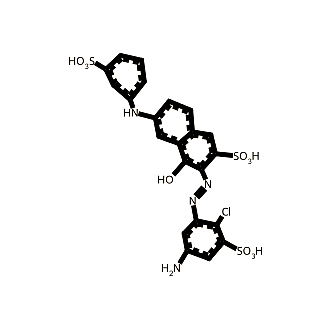 Nc1cc(N=Nc2c(S(=O)(=O)O)cc3ccc(Nc4cccc(S(=O)(=O)O)c4)cc3c2O)c(Cl)c(S(=O)(=O)O)c1